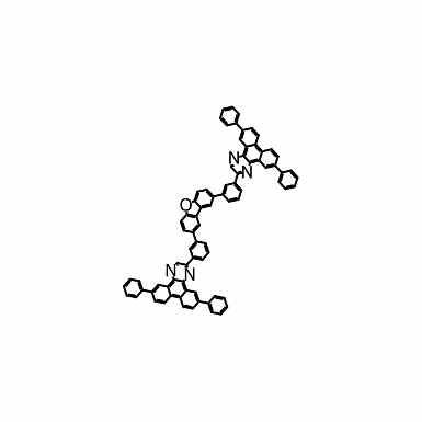 c1ccc(-c2ccc3c4ccc(-c5ccccc5)cc4c4nc(-c5cccc(-c6ccc7oc8ccc(-c9cccc(-c%10cnc%11c%12cc(-c%13ccccc%13)ccc%12c%12ccc(-c%13ccccc%13)cc%12c%11n%10)c9)cc8c7c6)c5)cnc4c3c2)cc1